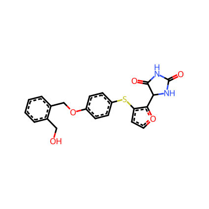 O=C1NC(=O)C(c2occc2Sc2ccc(OCc3ccccc3CO)cc2)N1